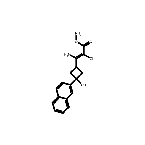 NOC(=O)C(Cl)=C(N)C1CC(O)(c2ccc3ccccc3c2)C1